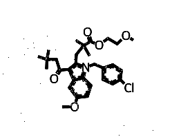 COCCOC(=O)C(C)(C)Cc1c(C(=O)CC(C)(C)C)c2cc(OC)ccc2n1Cc1ccc(Cl)cc1